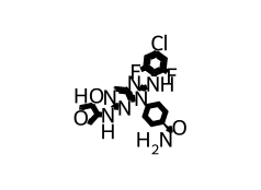 NC(=O)[C@H]1CC[C@@H](n2c(Nc3c(F)cc(Cl)cc3F)nc3cnc(NC4COCC4O)nc32)CC1